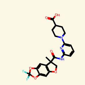 CC1(C(=O)Nc2cccc(N3CCC(C(=O)O)CC3)n2)COc2cc3c(cc21)OC(F)(F)O3